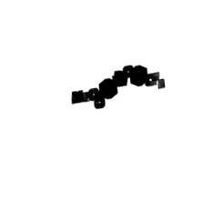 COC(=O)c1ccc(N2CC(Oc3ccc(C(F)(F)F)cc3)C2)cc1